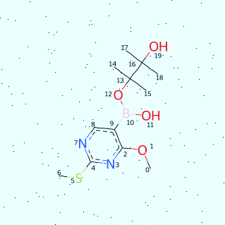 COc1nc(SC)ncc1B(O)OC(C)(C)C(C)(C)O